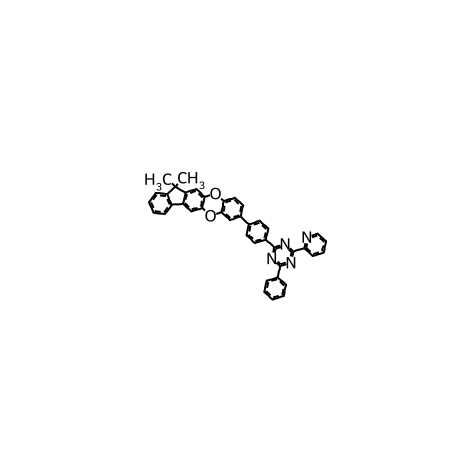 CC1(C)c2ccccc2-c2cc3c(cc21)Oc1ccc(-c2ccc(-c4nc(-c5ccccc5)nc(-c5ccccn5)n4)cc2)cc1O3